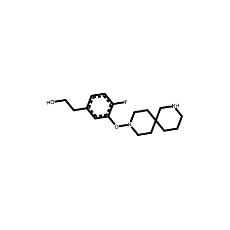 OCCc1ccc(F)c(ON2CCC3(CCCNC3)CC2)c1